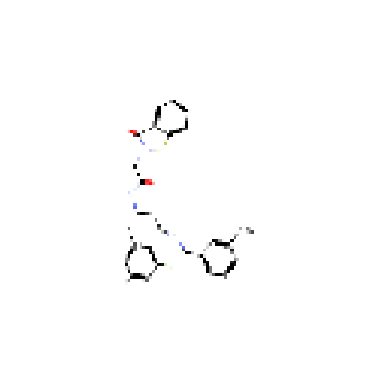 CCc1cccc(CNC[C@@H](O)[C@H](Cc2cc(F)cc(F)c2)NC(=O)Cn2sc3ccccc3c2=O)c1